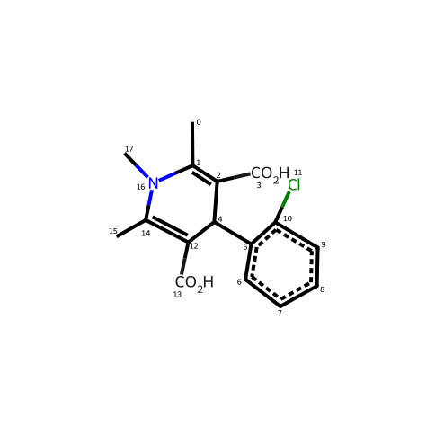 CC1=C(C(=O)O)C(c2ccccc2Cl)C(C(=O)O)=C(C)N1C